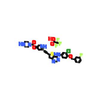 O=C(O)C(F)(F)F.O=C(O[C@H]1CN[C@H](C#Cc2cc3ncnc(Nc4ccc(OCc5cccc(F)c5)c(Cl)c4)c3s2)C1)N1CCNCC1